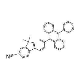 C=C(/C=C\C1=CC(C)(C)c2cc(C#N)ccc21)c1c2ccccc2c(-c2ccccc2)c2ccccc12